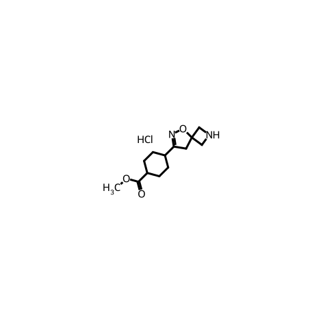 COC(=O)C1CCC(C2=NOC3(CNC3)C2)CC1.Cl